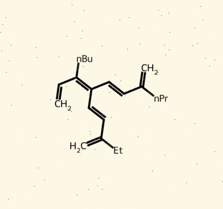 C=CC(CCCC)=C(C=CC(=C)CC)C=CC(=C)CCC